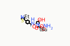 CCc1ncsc1-c1ccc([C@H](C)NC(=O)[C@@H]2C[C@@H](O)CN2C(=O)[C@@H](OC(N)=O)C(C)(C)C)cc1